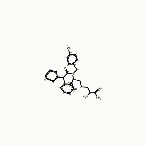 N=C(N)C(N)CCC[C@@H](C(N)=O)N(Cc1ccc(O)cc1)C(=O)C(c1ccccc1)c1ccccc1